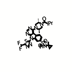 CC(C)C(=O)N1C[C@@H](C)N(c2ncnc3c2c2ccc(S(=O)(=O)NC4(C)CC4)cc2n3-c2nnc(C(F)F)s2)C[C@@H]1C